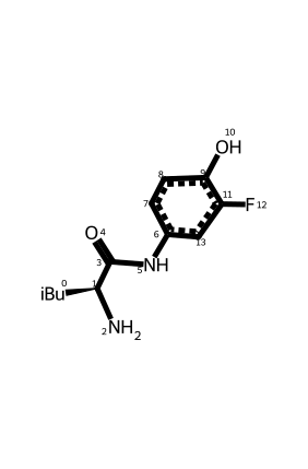 CCC(C)[C@H](N)C(=O)Nc1ccc(O)c(F)c1